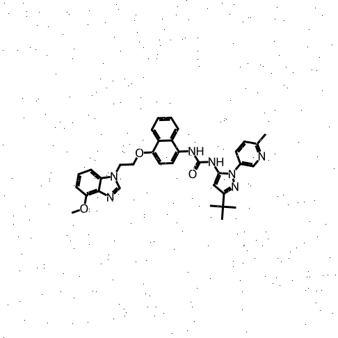 COc1cccc2c1ncn2CCOc1ccc(NC(=O)Nc2cc(C(C)(C)C)nn2-c2ccc(C)nc2)c2ccccc12